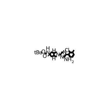 Cc1cccc(-c2ncc(N3C[C@@H]4C[C@](C)(NC(=O)OC(C)(C)C)C[C@@H]4C3)nc2N)c1Cl